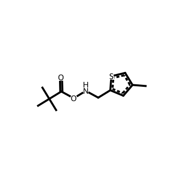 Cc1csc(CNOC(=O)C(C)(C)C)c1